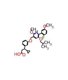 COc1ccc(F)c(-c2nc(OC)c(COc3cccc(C(CC(=O)O)C4CC4)c3)cc2OCC(C)C)c1